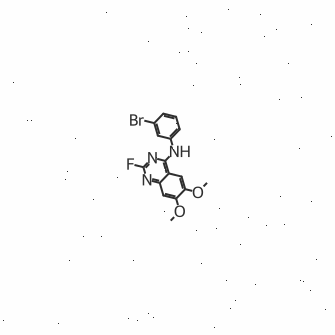 COc1cc2nc(F)nc(Nc3cccc(Br)c3)c2cc1OC